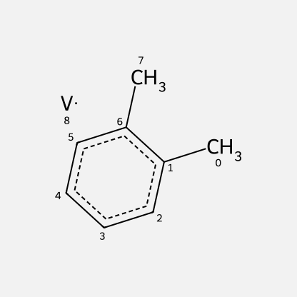 Cc1ccccc1C.[V]